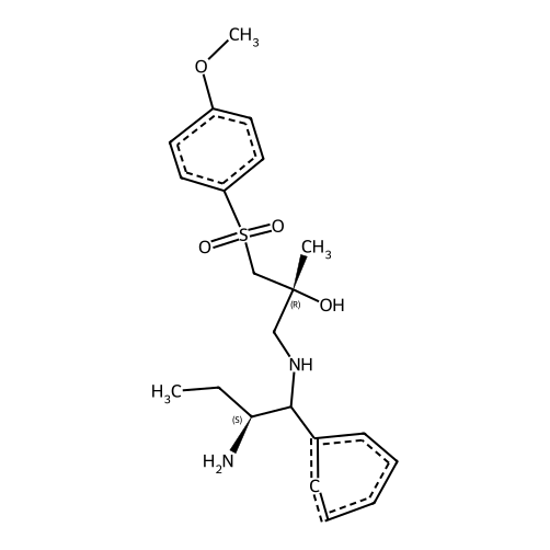 CC[C@H](N)C(NC[C@@](C)(O)CS(=O)(=O)c1ccc(OC)cc1)c1ccccc1